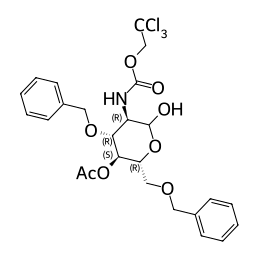 CC(=O)O[C@H]1[C@H](OCc2ccccc2)[C@@H](NC(=O)OCC(Cl)(Cl)Cl)C(O)O[C@@H]1COCc1ccccc1